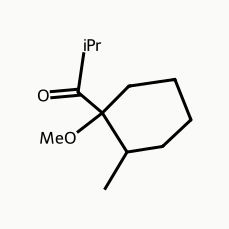 COC1(C(=O)C(C)C)CCCCC1C